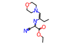 CCOC(=O)C(C#N)=NC(=CN1CCOCC1)CC